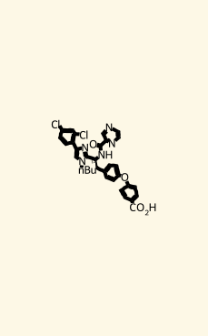 CCCCn1cc(-c2ccc(Cl)cc2Cl)nc1[C@H](Cc1ccc(Oc2ccc(C(=O)O)cc2)cc1)NC(=O)c1cnccn1